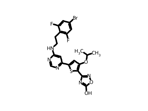 CC(C)Oc1cc(-c2cc(NCCc3c(F)cc(Br)cc3F)ncn2)sc1-c1noc(O)n1